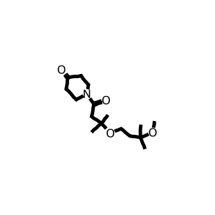 COC(C)(C)CCOC(C)(C)CC(=O)N1CCC(=O)CC1